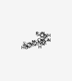 CC(Nc1ncc(C#N)c(-c2c[nH]c3ncc(CF)cc23)n1)c1ccc(N2CCC(O)(C3CC3)CC2)nc1